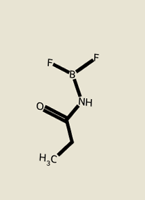 CCC(=O)NB(F)F